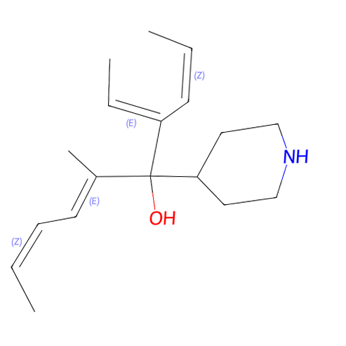 C/C=C\C=C(/C)C(O)(C(/C=C\C)=C/C)C1CCNCC1